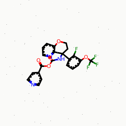 O=C(NC1(c2cccc(OC(F)(F)F)c2F)CCOc2cccnc21)OC(=O)c1ccncc1